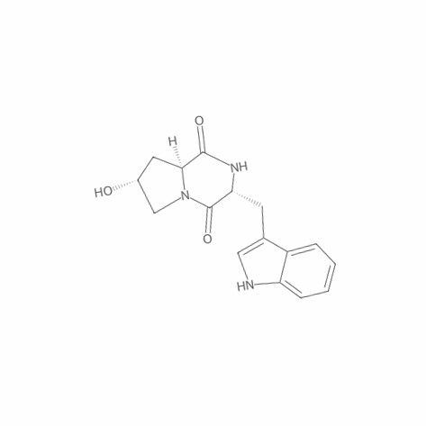 O=C1N[C@H](Cc2c[nH]c3ccccc23)C(=O)N2C[C@H](O)C[C@@H]12